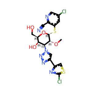 CO[C@@H]1[C@@H](n2cc(-c3csc(Cl)n3)nn2)[C@@H](O)[C@@H](CO)O[C@@H]1Sc1cc(Cl)cnc1C#N